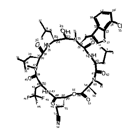 CC(C)C[C@@H]1NC(=O)[C@H](Cc2csc3c(Cl)cccc23)N(C)C(O)[C@H](CC(C)C)NC(=O)[C@H](CC(C)C)N(C)C(=O)[C@H](CC(F)(F)F)NC(=O)[C@@H](CCC#N)OC(=O)[C@H](C)N(C)C1=O